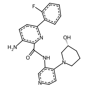 Nc1ccc(-c2ccccc2F)nc1C(=O)Nc1cnccc1N1CCC[C@@H](O)C1